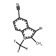 Cc1c(Br)c2cc(C#N)ccc2n1C(F)(F)F